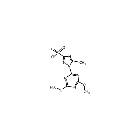 COc1nc(OC)nc(-n2nc(S(=O)(=O)Cl)nc2C)n1